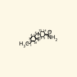 CCc1ccc(CN2CCC(C(N)=O)CC2)c(F)c1